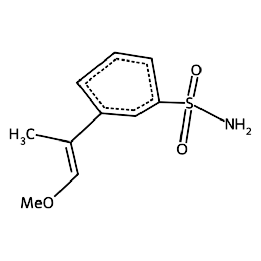 COC=C(C)c1cccc(S(N)(=O)=O)c1